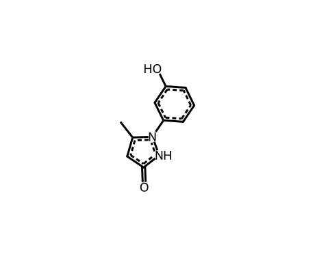 Cc1cc(=O)[nH]n1-c1cccc(O)c1